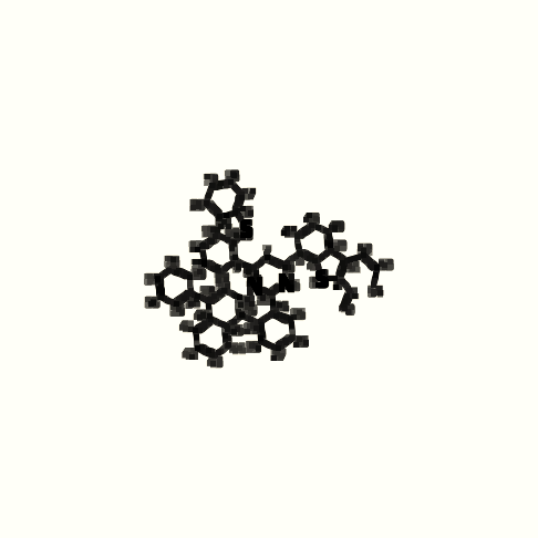 C=Cc1sc2c(-c3cc(-c4cccc5c4sc4ccccc45)nc(-c4ccccc4-c4ccc(-c5ccccc5)c5ccccc45)n3)cccc2c1/C=C\C